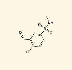 CNS(=O)(=O)c1ccc(Cl)c(C=O)c1